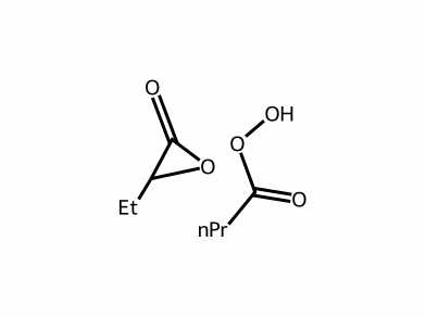 CCC1OC1=O.CCCC(=O)OO